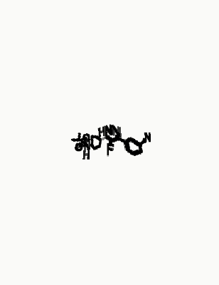 CC(C)S(=O)(=O)N[C@H]1CC[C@H](c2[nH]nc(-c3cccc(C#N)c3)c2F)CC1